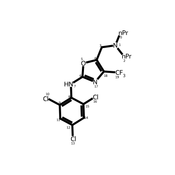 CCCN(CCC)Cc1oc(Nc2c(Cl)cc(Cl)cc2Cl)nc1C(F)(F)F